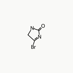 O=C1[N]CC(Br)=N1